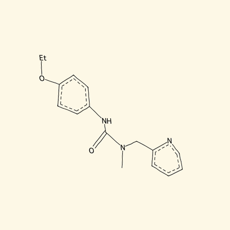 CCOc1ccc(NC(=O)N(C)Cc2ccccn2)cc1